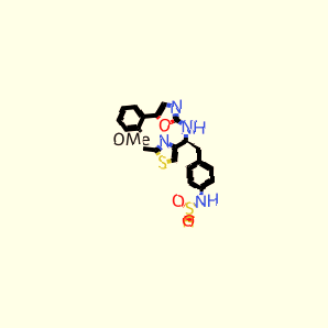 COc1ccccc1-c1cnc(N[C@@H](Cc2ccc(N[SH](=O)=O)cc2)c2csc(C)n2)o1